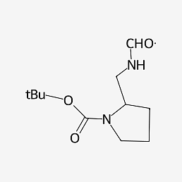 CC(C)(C)OC(=O)N1CCCC1CN[C]=O